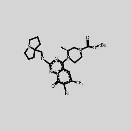 C[C@H]1CN(C(=O)OC(C)(C)C)CCN1c1nc(OCC23CCCN2CCC3)nn2c(=O)c(Br)c(C(F)(F)F)cc12